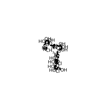 Cc1cn(CC2O[C@H](OCc3cn(CC4O[C@H](OCc5cn(C[C@H]6OC(CCl)(O[C@H]7O[C@H](CCO)[C@H](Cl)[C@H](O)[C@H]7O)[C@@H](O)[C@@H]6O)nn5)[C@@H](O)[C@@H](O)[C@@H]4O)nn3)[C@@H](O)[C@@H](O)C2O)nn1